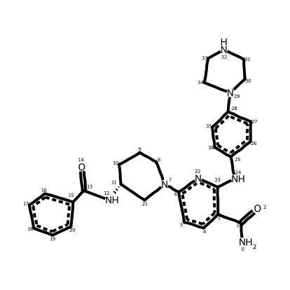 NC(=O)c1ccc(N2CCC[C@@H](NC(=O)c3ccccc3)C2)nc1Nc1ccc(N2CCNCC2)cc1